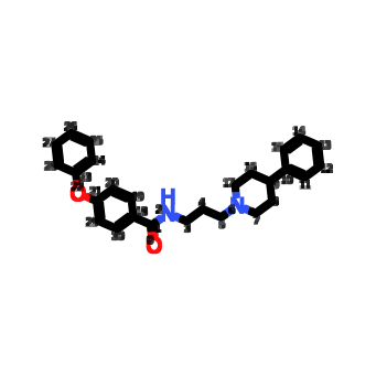 O=C(NCCCN1CCC(c2ccccc2)CC1)c1ccc(Oc2ccccc2)cc1